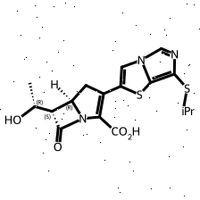 CC(C)Sc1ncn2cc(C3=C(C(=O)O)N4C(=O)[C@H]([C@@H](C)O)[C@H]4C3)sc12